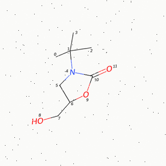 CC(C)(C)N1CC(CO)OC1=O